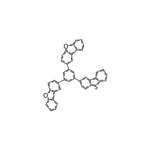 c1ccc2c(c1)oc1ccc(-c3cc(-c4ccc5oc6ccccc6c5c4)cc(-c4ccc5sc6ccccc6c5c4)c3)cc12